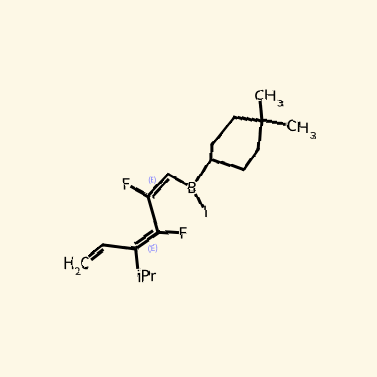 C=C/C(=C(F)\C(F)=C/B(I)C1CCC(C)(C)CC1)C(C)C